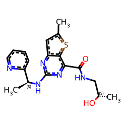 Cc1cc2nc(N[C@@H](C)c3ccccn3)nc(C(=O)NC[C@H](C)O)c2s1